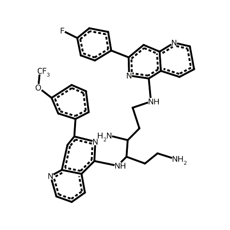 NCCC(Nc1nc(-c2cccc(OC(F)(F)F)c2)cc2ncccc12)C(N)CCNc1nc(-c2ccc(F)cc2)cc2ncccc12